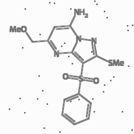 COCc1cc(N)n2nc(SC)c(S(=O)(=O)c3ccccc3)c2n1